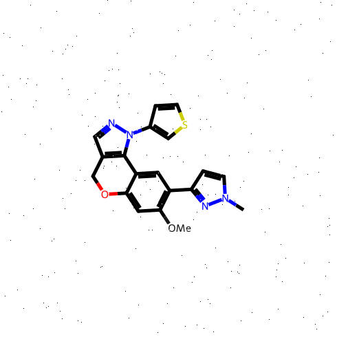 COc1cc2c(cc1-c1ccn(C)n1)-c1c(cnn1-c1ccsc1)CO2